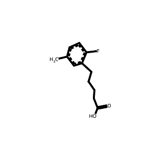 Cc1ccc(F)c(CCCCC(=O)O)c1